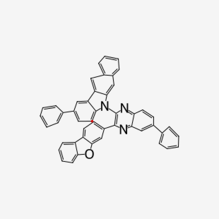 c1ccc(-c2ccc3nc(-n4c5ccc(-c6ccccc6)cc5c5cc6ccccc6cc54)c(-c4ccc5c(c4)oc4ccccc45)nc3c2)cc1